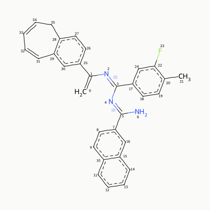 C=C(/N=C(\N=C(/N)c1ccc2ccccc2c1)c1ccc(C)c(F)c1)c1ccc2c(c1)C=CC=CC2